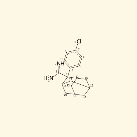 N=C(N)C1(c2ccc(Cl)cc2)C2CC3CC(C2)CC1C3